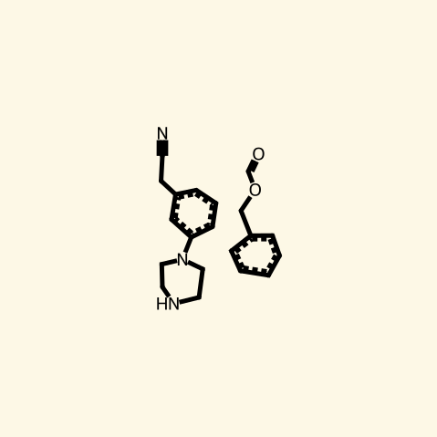 N#CCc1cccc(N2CCNCC2)c1.O=COCc1ccccc1